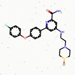 NC(=O)c1cc(NCCN2CC[S+]([O-])CC2)cc(-c2ccc(Oc3ccc(F)cc3)cc2)n1